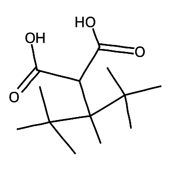 CC(C)(C)C(C)(C(C(=O)O)C(=O)O)C(C)(C)C